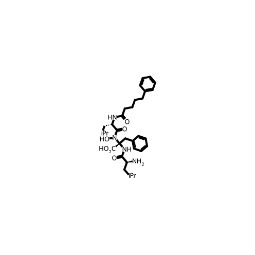 CC(C)C[C@H](NC(=O)CCCCc1ccccc1)C(=O)N(O)[C@](Cc1ccccc1)(NC(=O)[C@@H](N)CC(C)C)C(=O)O